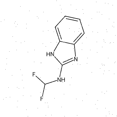 FC(F)Nc1nc2ccccc2[nH]1